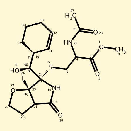 COC(=O)C(CS[C@]1([C@@H](O)[C@@H]2C=CCCC2)NC(=O)C2CCO[C@@]21I)NC(C)=O